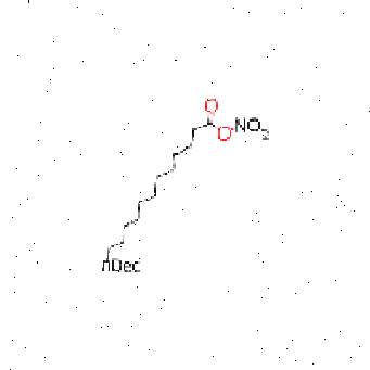 CCCCCCCCCCCCCCCCCCCCCC(=O)O[N+](=O)[O-]